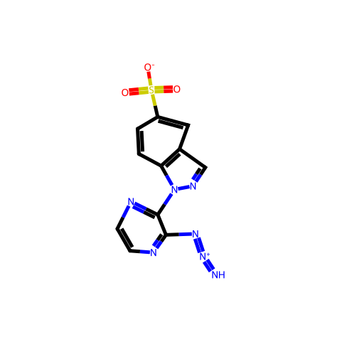 N=[N+]=Nc1nccnc1-n1ncc2cc(S(=O)(=O)[O-])ccc21